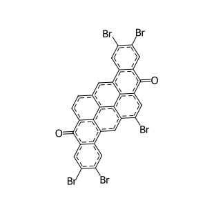 O=c1c2cc(Br)c(Br)cc2c2cc3c(Br)cc4c(=O)c5cc(Br)c(Br)cc5c5cc6ccc1c2c6c3c45